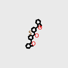 O=c1c2cc(-c3occ4ccccc34)ccc2sc2ccc(-c3occ4ccccc34)cc12